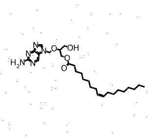 CCCCCCCC/C=C\CCCCCCCC(=O)OCC(CO)OCn1cnc2nc(N)ncc21